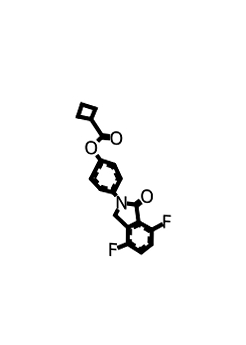 O=C(Oc1ccc(N2Cc3c(F)ccc(F)c3C2=O)cc1)C1CCC1